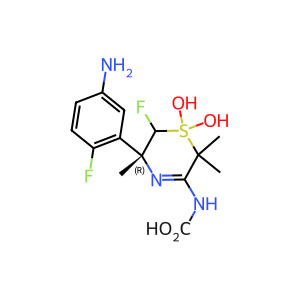 CC1(C)C(NC(=O)O)=N[C@](C)(c2cc(N)ccc2F)C(F)S1(O)O